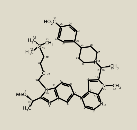 CO[C@H](C)c1nc2cc(-c3ccnc4c3cc([C@H](C)N3CCC(c5ccc(C(=O)O)cc5)CC3)n4C)ccc2n1COCC[Si](C)(C)C